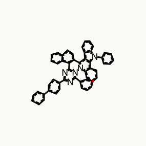 c1ccc(-c2ccc(-c3nc(-c4ccccc4)nc(-c4c(-c5nc6ccccc6c6c5c5ccccc5n6-c5ccccc5)ccc5ccccc45)n3)cc2)cc1